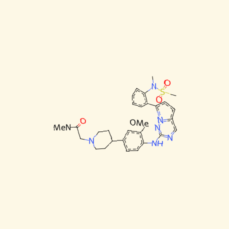 CNC(=O)CN1CCC(c2ccc(Nc3ncc4ccc(-c5ccccc5N(C)S(C)(=O)=O)n4n3)c(OC)c2)CC1